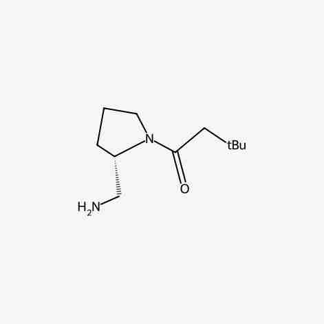 CC(C)(C)CC(=O)N1CCC[C@H]1CN